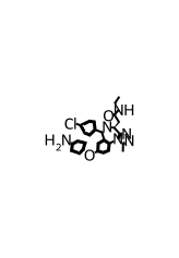 CCNC(=O)C[C@@H]1N=C(c2ccc(Cl)cc2)c2cc(Oc3ccc(N)cc3)ccc2-n2c(C)nnc21